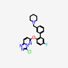 Fc1ccc(Oc2ccc3nnc(Cl)n3n2)c(-c2cccc(CN3CCCCC3)c2)c1